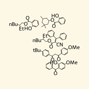 CC1CC(OC(=O)c2ccccc2O)CC(C)(C)C1.CCCCC(CC)COC(=O)C(C#N)=C(c1ccccc1)c1ccccc1.CCCCC(CC)COC(=O)c1ccccc1O.COc1ccc(C(=O)CC(=O)c2ccc(C(C)(C)C)cc2)cc1.COc1ccc(C(=O)c2ccccc2)c(O)c1